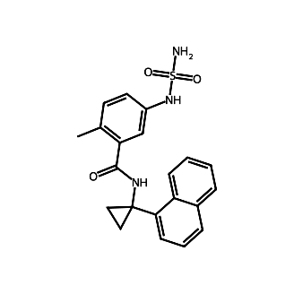 Cc1ccc(NS(N)(=O)=O)cc1C(=O)NC1(c2cccc3ccccc23)CC1